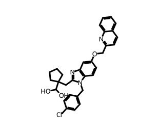 OC(O)C1(Cc2nc3cc(OCc4ccc5ccccc5n4)ccc3n2Cc2ccc(Cl)cc2)CCCC1